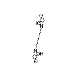 COc1ccc(C=NCCCCCCCCCCCCN=Cc2ccc(OC)cc2O)c(O)c1